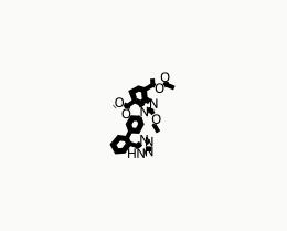 CCOc1nc2c(C(C)OC(C)=O)ccc(C(=O)OC)c2n1-c1ccc(-c2ccccc2-c2nnn[nH]2)cc1